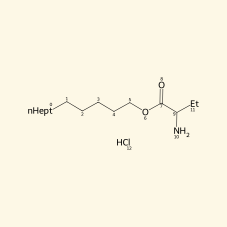 CCCCCCCCCCCCOC(=O)C(N)CC.Cl